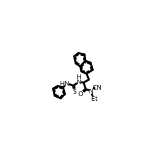 CCN(C#N)C(=O)C(Cc1ccc2ccccc2c1)NC(=S)Nc1ccccc1